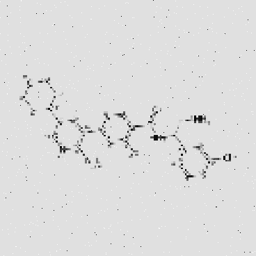 NC[C@@H](NC(=O)c1ccc(-c2cc(C3CCOCC3)cnc2N)cc1F)c1cccc(Cl)c1